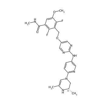 CNC(=O)c1cc(OC)c(F)c(COc2cnc(Nc3ccc(N4C=C(C)N[C@@H](C)C4)nc3)nc2)c1F